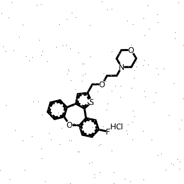 Cl.Fc1ccc2c(c1)-c1sc(COCCN3CCOCC3)cc1-c1ccccc1O2